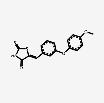 COc1ccc(Oc2cccc(/C=C3\SC(=S)NC3=O)c2)cc1